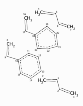 C=CC=C.C=CC=C.C=Cc1ccccc1.C=Cc1ccccc1